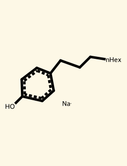 CCCCCCCCCc1ccc(O)cc1.[Na]